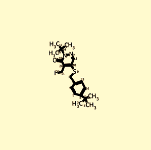 CC(C)(C)c1ccc(CSc2cnn(C(C)(C)C)c(=O)c2CF)cc1